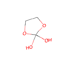 OC1(O)OCCO1